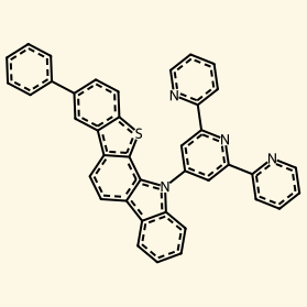 c1ccc(-c2ccc3sc4c(ccc5c6ccccc6n(-c6cc(-c7ccccn7)nc(-c7ccccn7)c6)c54)c3c2)cc1